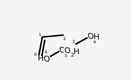 C=CC.CO.O=C(O)O